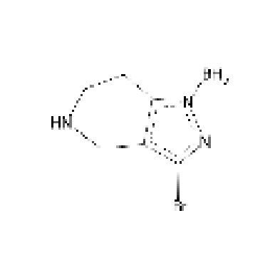 Bn1nc(Br)c2c1CCNC2